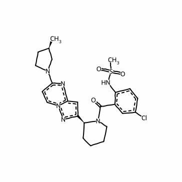 C[C@@H]1CCN(c2ccn3nc([C@@H]4CCCCN4C(=O)c4cc(Cl)ccc4NS(C)(=O)=O)cc3n2)C1